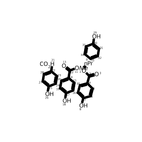 CCCOC(=O)c1ccc(O)cc1.COC(=O)c1ccc(O)cc1.O=C(O)c1ccc(O)cc1.Oc1ccccc1